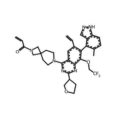 C=CC(=O)N1CC2(CCN(c3nc(C4CCOC4)nc4c(OCC(F)(F)F)c(-c5c(C)ccc6[nH]ncc56)c(C=C)cc34)CC2)C1